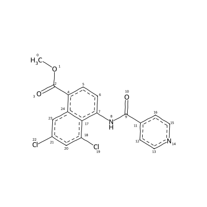 COC(=O)c1ccc(NC(=O)c2ccncc2)c2c(Cl)cc(Cl)cc12